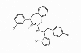 Cn1cncc1C(Cc1ccc(Cl)cc1)NC1Cc2ccccc2CN(c2cccc(Cl)c2)C1=O